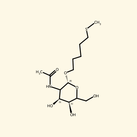 CSCCCCCO[C@@H]1OC(CO)[C@@H](O)[C@@H](O)C1NC(C)=O